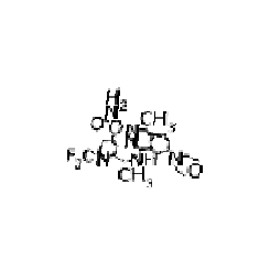 Cc1nnc(NC(C)c2cc(OC(N)=O)cc(C(F)(F)F)n2)c2cc(N3CCOCC3)ccc12